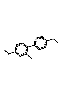 CCc1ccc(-c2ccc(CC)cc2F)nc1